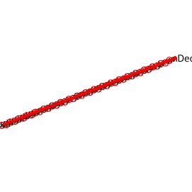 CCCCCCCCCCCCCOCCOCCOCCOCCOCCOCCOCCOCCOCCOCCOCCOCCOCCOCCOCCOCCOCCOCCOCCOCCOCCOCCOCCOCCOCCOCCOCCOCCOCCOCCOCCOCCOCCOCCOCCOCCOCCOCCOCCOCCO